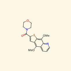 COc1c2cccnc2c(OC)c2sc(C(=O)N3CCOCC3)cc12